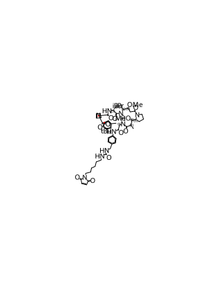 CC[C@H](C)[C@@H]([C@@H](CC(=O)N1CCC[C@H]1[C@H](OC)[C@@H](C)C(=O)N[C@@H](Cc1ccccc1)C(=O)Nc1ccc(CNC(=O)NCCCCCCN2C(=O)C=CC2=O)cc1)OC)N(C)C(=O)[C@@H](NC(=O)C1C2CC(C2)N1C(=O)OC(C)(C)C)C(C)C